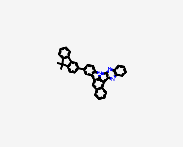 CC1(C)c2ccccc2-c2cc(-c3ccc4c(c3)c3cc5ccccc5c5c6nc7ccccc7nc6n4c35)ccc21